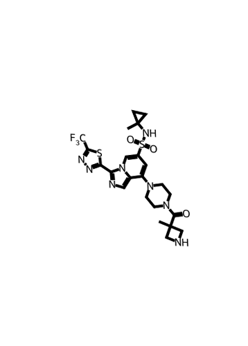 CC1(NS(=O)(=O)c2cc(N3CCN(C(=O)C4(C)CNC4)CC3)c3cnc(-c4nnc(C(F)(F)F)s4)n3c2)CC1